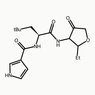 CCC1OCC(=O)C1NC(=O)[C@H](CC(C)(C)C)NC(=O)c1cc[nH]c1